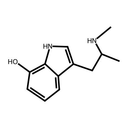 CNC(C)Cc1c[nH]c2c(O)cccc12